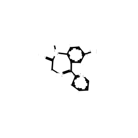 CN1C(=O)CN=C(c2ccccn2)c2cc(S)ccc21